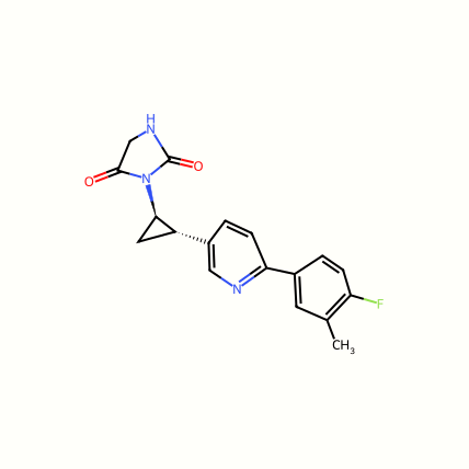 Cc1cc(-c2ccc([C@@H]3C[C@H]3N3C(=O)CNC3=O)cn2)ccc1F